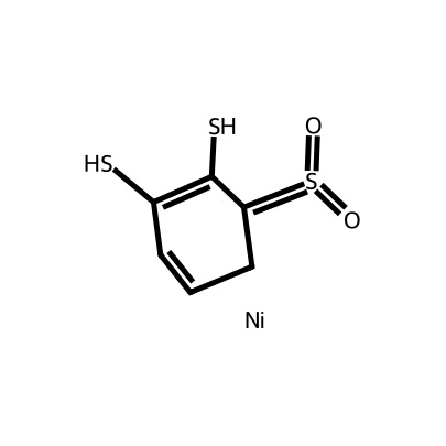 O=S(=O)=C1CC=CC(S)=C1S.[Ni]